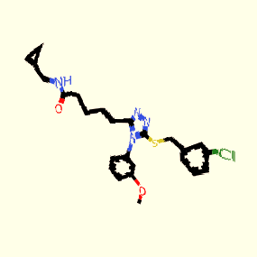 COc1cccc(-n2c(CCCCC(=O)NCC3CC3)nnc2SCc2cccc(Cl)c2)c1